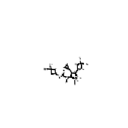 CN(C(=O)OC1CC(F)(F)C1)c1c(C2CC2)c(C2CC(F)(F)C2)nn1C